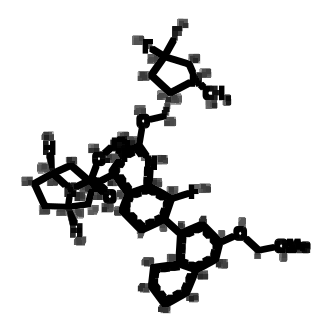 COCOc1cc(-c2ccc3c(N4C[C@H]5CC[C@@H](C4)N5C(=O)OC(C)(C)C)nc(OC[C@@H]4CC(F)(F)CN4C)nc3c2F)c2ccccc2c1